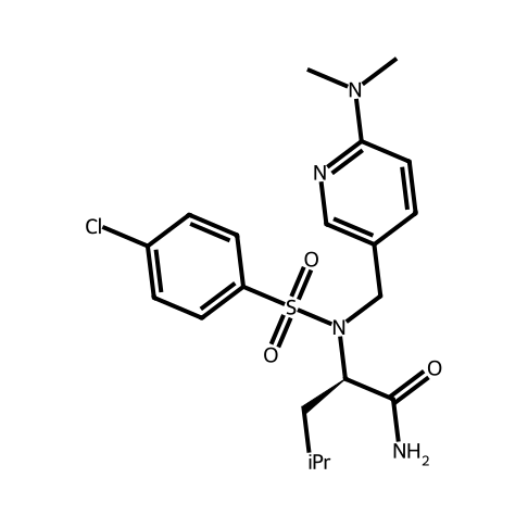 CC(C)C[C@H](C(N)=O)N(Cc1ccc(N(C)C)nc1)S(=O)(=O)c1ccc(Cl)cc1